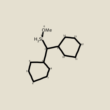 CO[SiH2]C(C1CCCCC1)C1CCCCC1